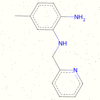 Cc1ccc(N)c(NCc2ccccn2)c1